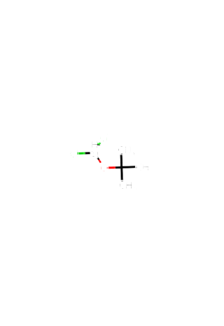 CC(C)(C)O[SiH](Cl)Cl